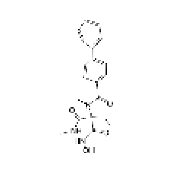 CCC(C(=O)NC)(C(=O)NO)N(C)C(=O)c1ccc(-c2ccccc2)cc1